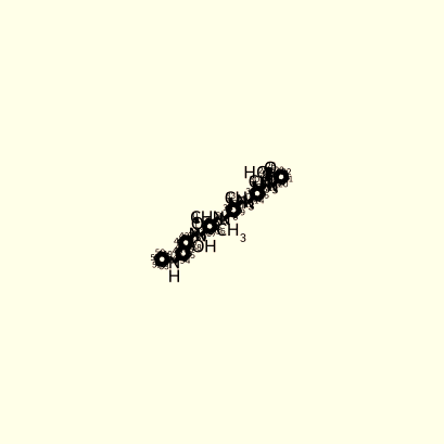 COc1cc(N=Nc2ccc(N=Nc3ccc(N=Nc4ccccc4S(=O)(=O)O)c(C)c3)c(C)c2)c(C)cc1N=Nc1ccc2cc(Nc3ccccc3)ccc2c1O